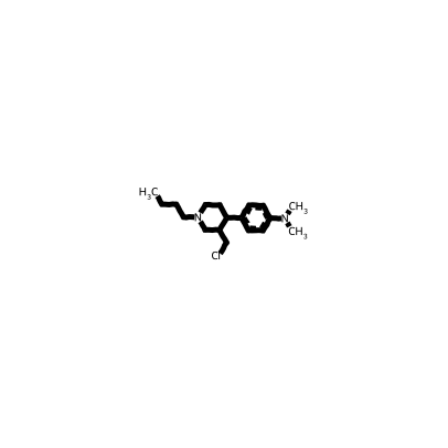 CCCCN1CCC(c2ccc(N(C)C)cc2)C(CCl)C1